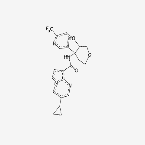 O=C(NC1(c2ccc(C(F)(F)F)nc2)CCOCC1O)c1ccn2cc(C3CC3)cnc12